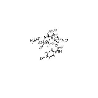 CCc1ccc(NC(=O)OCC2(N(C=O)Cc3ccccc3Cl)CCN(C(=O)C(N)CCN)CC2)cc1